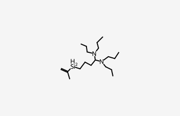 C=C(C)[SiH2]CCCC(N(CCC)CCC)N(CCC)CCC